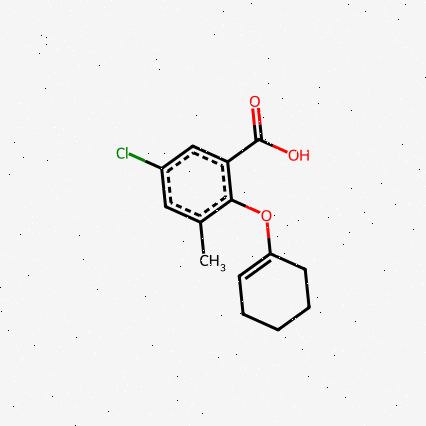 Cc1cc(Cl)cc(C(=O)O)c1OC1=CCCCC1